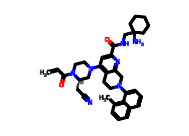 C=CC(=O)N1CCN(c2cc(C(=O)NCC3(N)CCCCC3)nc3c2CCN(c2cccc4cccc(C)c24)C3)C[C@@H]1CC#N